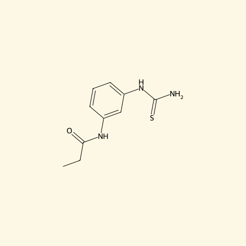 CCC(=O)Nc1cccc(NC(N)=S)c1